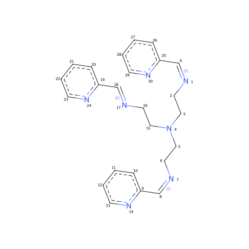 C(=N/CCN(CC/N=C\c1ccccn1)CC/N=C/c1ccccn1)/c1ccccn1